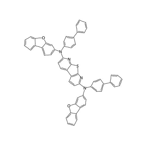 c1ccc(-c2ccc(N(c3ccc4c(c3)oc3ccccc34)c3ccc4c(n3)sc3nc(N(c5ccc(-c6ccccc6)cc5)c5ccc6c(c5)oc5ccccc56)ccc34)cc2)cc1